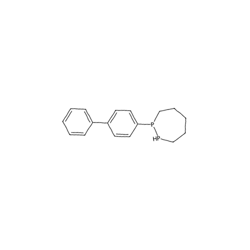 c1ccc(-c2ccc(P3CCCCCP3)cc2)cc1